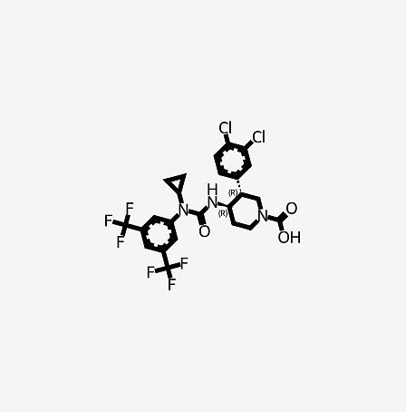 O=C(O)N1CC[C@@H](NC(=O)N(c2cc(C(F)(F)F)cc(C(F)(F)F)c2)C2CC2)[C@H](c2ccc(Cl)c(Cl)c2)C1